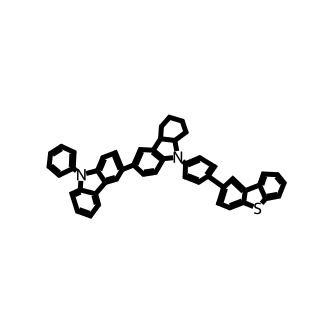 c1ccc(-n2c3ccccc3c3cc(-c4ccc5c(c4)C4CCCCC4N5c4ccc(-c5ccc6sc7ccccc7c6c5)cc4)ccc32)cc1